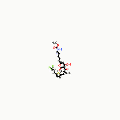 COC(=O)N/C=C/CCCc1cc(O)c(C(=O)C(C)(C)Cc2ccc(CCC(F)(F)F)s2)c(=O)o1